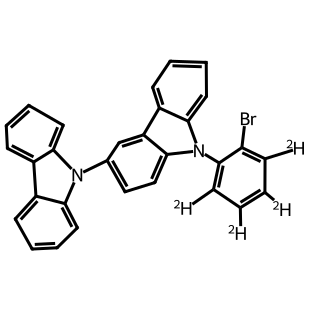 [2H]c1c([2H])c([2H])c(-n2c3ccccc3c3cc(-n4c5ccccc5c5ccccc54)ccc32)c(Br)c1[2H]